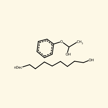 CC(O)Oc1ccccc1.CCCCCCCCCCCCCCCCCCO